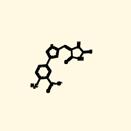 Cc1ccc(-c2csc(C=C3NC(=S)NC3=O)c2)cc1[N+](=O)[O-]